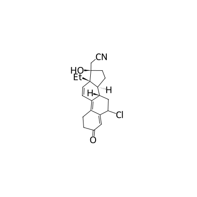 CC[C@]12C=CC3=C4CCC(=O)C=C4C(Cl)C[C@H]3[C@@H]1CC[C@@]2(O)CC#N